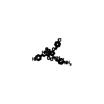 CS(=O)(=O)N[C@H](CCC1CCNCC1)C(=O)N1C[C@H](OCc2ccc(Cl)cc2)C[C@H]1C(=O)NCc1ccc(N)nc1